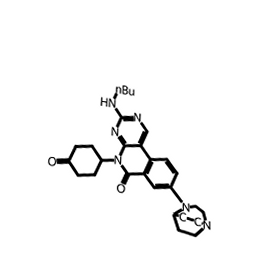 CCCCNc1ncc2c3ccc(N4CCN5CCC4CC5)cc3c(=O)n(C3CCC(=O)CC3)c2n1